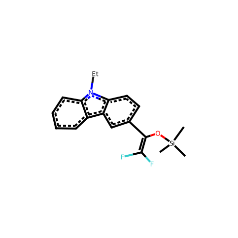 CCn1c2ccccc2c2cc(C(O[Si](C)(C)C)=C(F)F)ccc21